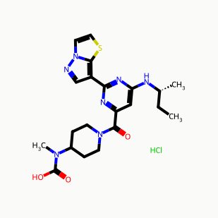 CC[C@@H](C)Nc1cc(C(=O)N2CCC(N(C)C(=O)O)CC2)nc(-c2cnn3ccsc23)n1.Cl